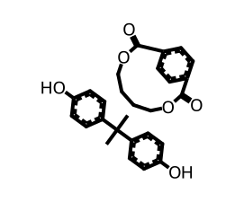 CC(C)(c1ccc(O)cc1)c1ccc(O)cc1.O=C1OCCCCOC(=O)c2ccc1cc2